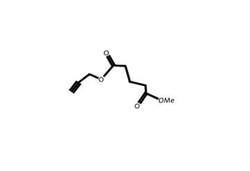 C#CCOC(=O)CCCC(=O)OC